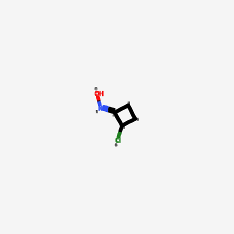 ON=C1C[CH]C1Cl